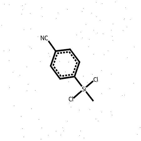 C[Si](Cl)(Cl)c1ccc(C#N)cc1